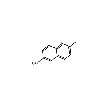 Cc1ccc2cc([AsH2])ccc2n1